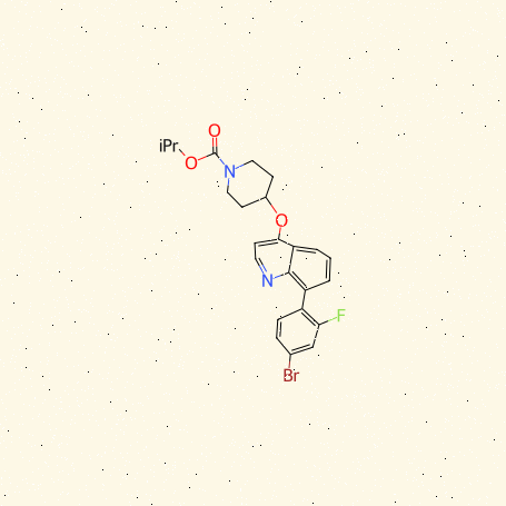 CC(C)OC(=O)N1CCC(Oc2ccnc3c(-c4ccc(Br)cc4F)cccc23)CC1